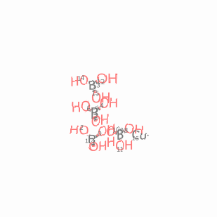 OB(O)O.OB(O)O.OB(O)O.OB(O)O.[Cu]